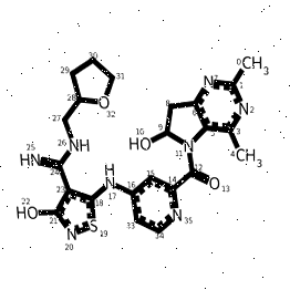 Cc1nc(C)c2c(n1)CC(O)N2C(=O)c1cc(Nc2snc(O)c2C(=N)NCC2CCCO2)ccn1